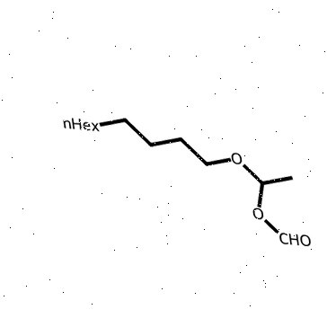 CCCCCCCCCCOC(C)OC=O